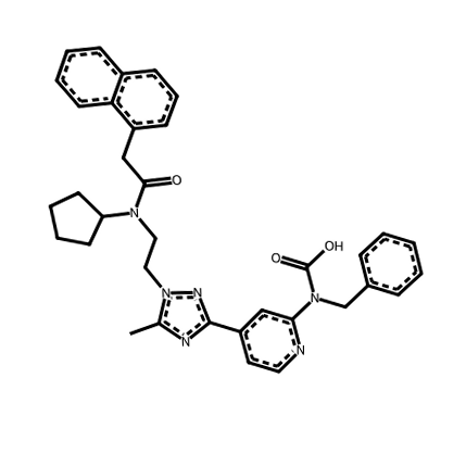 Cc1nc(-c2ccnc(N(Cc3ccccc3)C(=O)O)c2)nn1CCN(C(=O)Cc1cccc2ccccc12)C1CCCC1